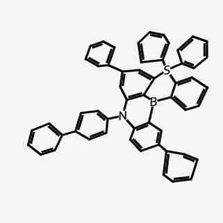 c1ccc(-c2ccc(N3c4ccc(-c5ccccc5)cc4B4c5ccccc5S(c5ccccc5)(c5ccccc5)c5cc(-c6ccccc6)cc3c54)cc2)cc1